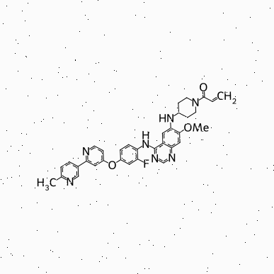 C=CC(=O)N1CCC(Nc2cc3c(Nc4ccc(Oc5ccnc(-c6ccc(C)nc6)c5)cc4F)ncnc3cc2OC)CC1